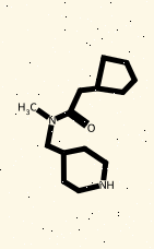 CN(CC1CCNCC1)C(=O)CC1CCCC1